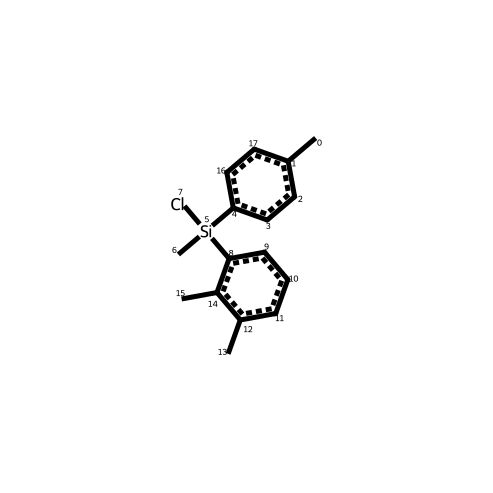 Cc1ccc([Si](C)(Cl)c2cccc(C)c2C)cc1